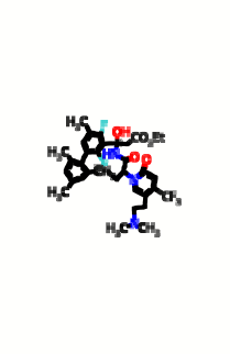 CCOC(=O)C[C@](O)(NC(=O)C(CC(C)C)n1cc(CCN(C)C)c(C(F)(F)F)cc1=O)c1c(F)c(C)cc(-c2c(C)cc(C)cc2C)c1F